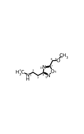 CNCCc1noc(COC)n1